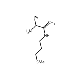 C=C(NCCCSC)C(N)C(C)C